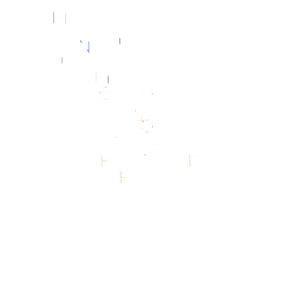 CC[N+](CC)(CC)CC.O=S(=O)([O-])C(F)(F)C(F)(F)C(F)CCCCCC(F)(F)F